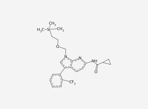 C[Si](C)(C)CCOCn1cc(-c2ccccc2C(F)(F)F)c2ccc(NC(=O)C3CC3)nc21